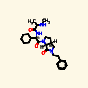 CNC(C)C(=O)N[C@H](C(=O)N1CC[C@H]2CN(CCc3ccccc3)C(=O)[C@H]21)C1CCCCC1